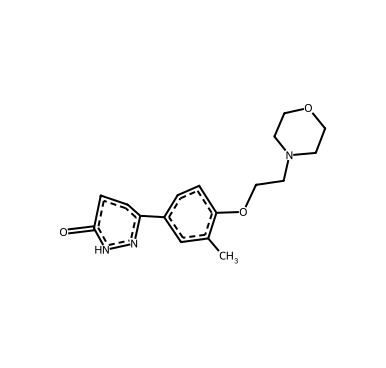 Cc1cc(-c2ccc(=O)[nH]n2)ccc1OCCN1CCOCC1